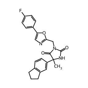 CC1(c2ccc3c(c2)CCC3)NC(=O)N(Cc2ncc(-c3ccc(F)cc3)o2)C1=O